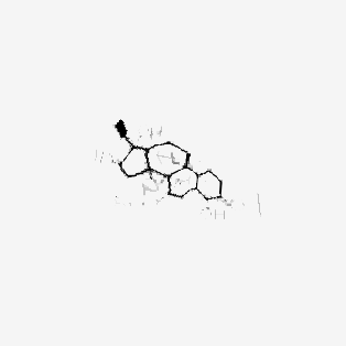 C#C[C@]1(O)[C@H](O)C[C@H]2[C@@H]3[C@@H](OC(C)=O)CC4[C@@H](O)[C@H](O)CC[C@]4(C)[C@H]3CC[C@@]21C